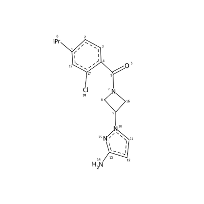 CC(C)c1ccc(C(=O)N2CC(n3ccc(N)n3)C2)c(Cl)c1